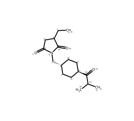 CCC1CC(=O)N(C[C@H]2CC[C@H](C(=O)C(C)C)CC2)C1=O